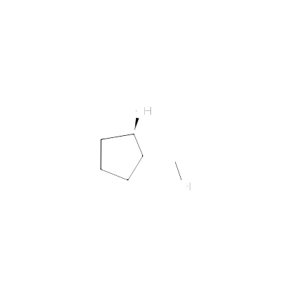 C[C@@H]1CCC[C@H]1CO